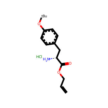 C=CCOC(=O)[C@H](N)Cc1ccc(OC(C)(C)C)cc1.Cl